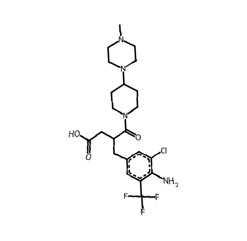 CN1CCN(C2CCN(C(=O)C(CC(=O)O)Cc3cc(Cl)c(N)c(C(F)(F)F)c3)CC2)CC1